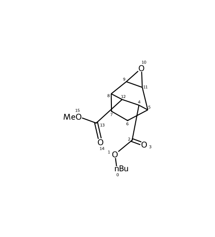 CCCCOC(=O)C1C2CCC(C3OC23)C1C(=O)OC